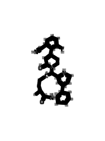 CC1CCCC(N2CCC(c3c(F)cccc3C#N)=CC2=O)c2cc(ccn2)-c2ccccc2NC1=O